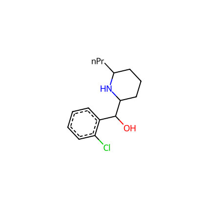 CCCC1CCCC(C(O)c2ccccc2Cl)N1